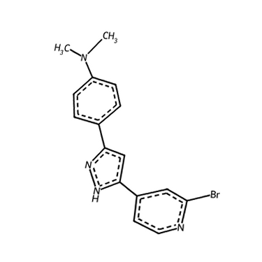 CN(C)c1ccc(-c2cc(-c3ccnc(Br)c3)[nH]n2)cc1